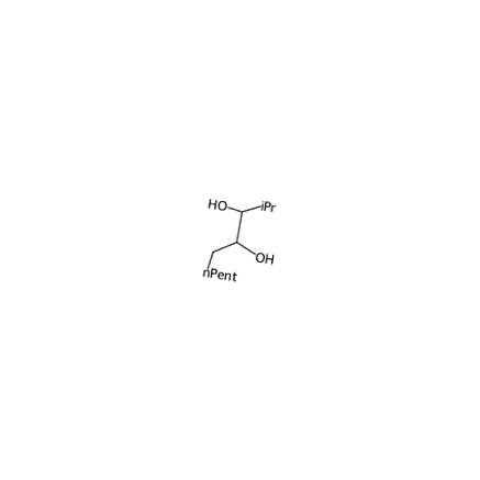 CCCCCCC(O)C(O)C(C)C